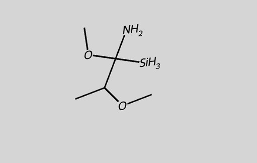 COC(C)C(N)([SiH3])OC